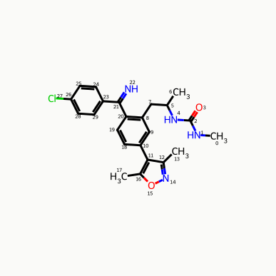 CNC(=O)NC(C)Cc1cc(-c2c(C)noc2C)ccc1C(=N)c1ccc(Cl)cc1